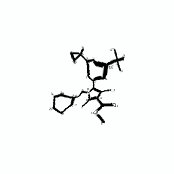 COC(=O)c1c(Cl)c(-c2cc(C(C)(C)C)cc(C3(C)CC3)c2)n(CC2CCCCC2)c1C